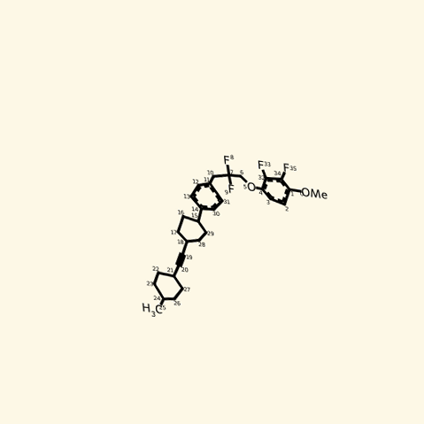 COc1ccc(OCC(F)(F)Cc2ccc(C3CCC(C#CC4CCC(C)CC4)CC3)cc2)c(F)c1F